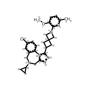 COc1ccc(C)nc1N1CC2(CC(c3nnc4n3-c3ccc(Cl)cc3CN(C3CC3)C4)C2)C1